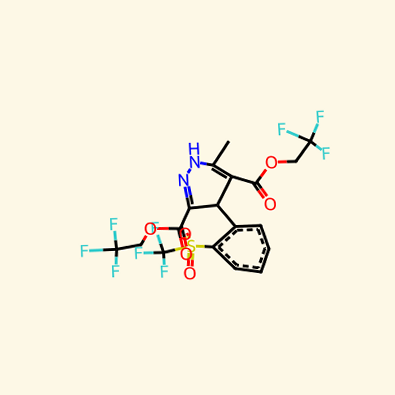 CC1=C(C(=O)OCC(F)(F)F)C(c2ccccc2S(=O)(=O)C(F)(F)F)C(C(=O)OCC(F)(F)F)=NN1